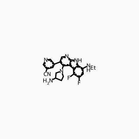 CCNc1cc(F)c(F)c2c1[nH]c1ncc(-c3cncc(C#N)c3)c(N3CCC(N)C3)c12